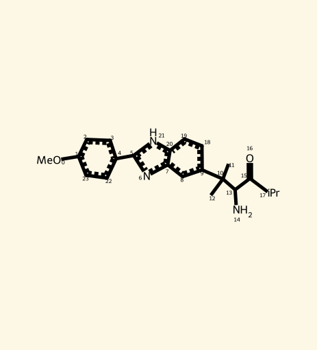 COc1ccc(-c2nc3cc(C(C)(C)C(N)C(=O)C(C)C)ccc3[nH]2)cc1